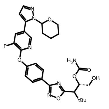 CC(C)(C)C(c1nc(-c2ccc(Oc3ncc(-c4ccnn4C4CCCCO4)cc3F)cc2)no1)[C@@H](CO)OC(N)=O